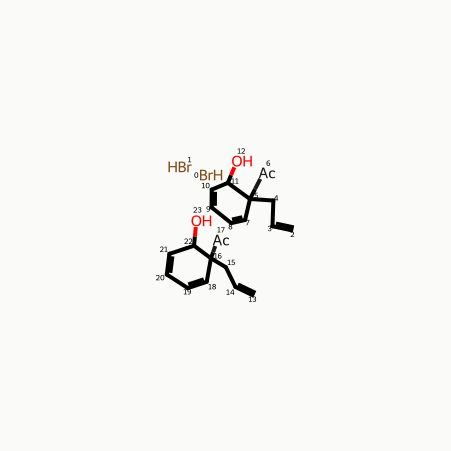 Br.Br.C=CCC1(C(C)=O)C=CC=CC1O.C=CCC1(C(C)=O)C=CC=CC1O